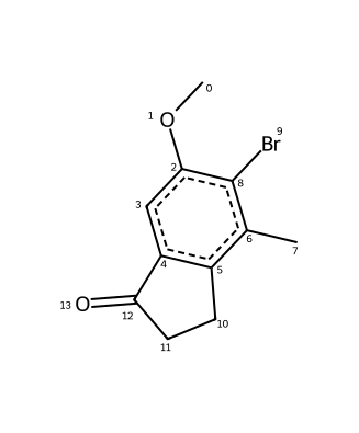 COc1cc2c(c(C)c1Br)CCC2=O